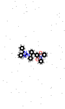 c1ccc(-c2nc(-n3c4ccccc4c4c(-c5cc6c7c(c5)Oc5ccccc5N7c5ccccc5O6)cccc43)nc3ccccc23)cc1